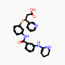 O=C(O)CC(Sc1cccc(NC(=O)c2cccc(NC3=CCCCN3)c2)c1)c1cccnc1